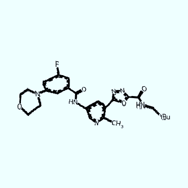 Cc1ncc(NC(=O)c2cc(F)cc(N3CCOCC3)c2)cc1-c1nnc(C(=O)NCC(C)(C)C)o1